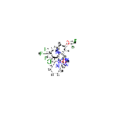 O=C(c1cccc(C(F)(F)F)c1Cl)N1C2CCCC1c1nnc(-c3cc(OC(F)F)ccn3)n1C2